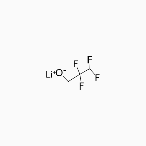 [Li+].[O-]CC(F)(F)C(F)F